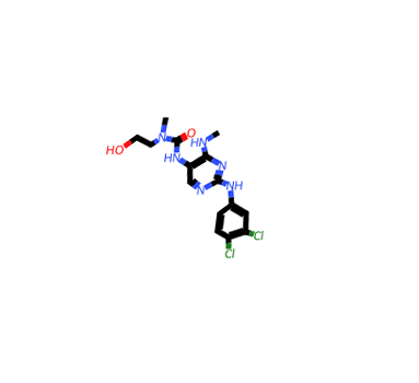 CNc1nc(Nc2ccc(Cl)c(Cl)c2)ncc1NC(=O)N(C)CCO